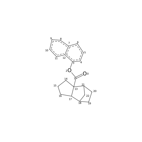 O=C(Oc1cccc2ccccc12)C12CCCC1C1CCC2C1